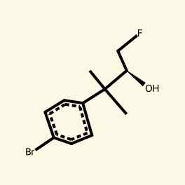 CC(C)(c1ccc(Br)cc1)[C@H](O)CF